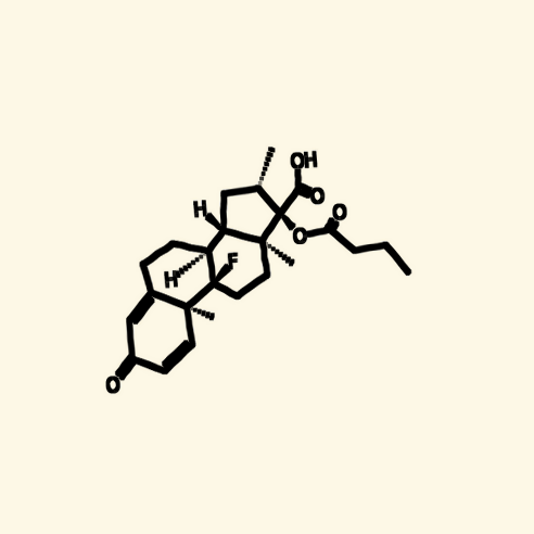 CCCC(=O)O[C@]1(C(=O)O)[C@@H](C)C[C@H]2[C@@H]3CCC4=CC(=O)C=C[C@]4(C)[C@@]3(F)CC[C@@]21C